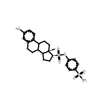 C[C@]12CCC3c4ccc(O)cc4CCC3C1CC[C@@H]2S(=O)(=O)Oc1ccc(S(N)(=O)=O)cc1